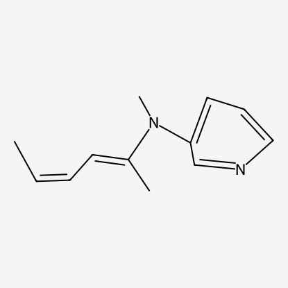 C/C=C\C=C(/C)N(C)c1cccnc1